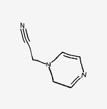 N#CCN1C=CN=CC1